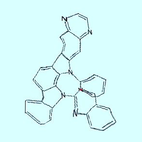 c1ccc(-n2c3cc4nccnc4cc3c3ccc4c5ccccc5n(-c5ncc6ccccc6n5)c4c32)cc1